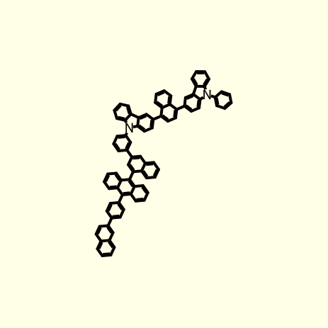 c1ccc(-n2c3ccccc3c3cc(-c4ccc(-c5ccc6c(c5)c5ccccc5n6-c5cccc(-c6cc(-c7c8ccccc8c(-c8ccc(-c9ccc%10ccccc%10c9)cc8)c8ccccc78)c7ccccc7c6)c5)c5ccccc45)ccc32)cc1